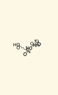 CC1(C)CC(NC(=O)c2ccc3nc(-c4ccccc4)c(CCCCC(=O)O)nc3c2)c2ccccc2O1